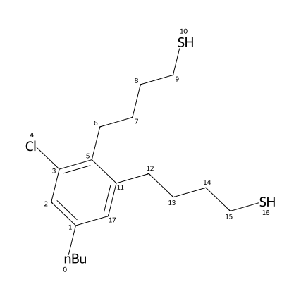 CCCCc1cc(Cl)c(CCCCS)c(CCCCS)c1